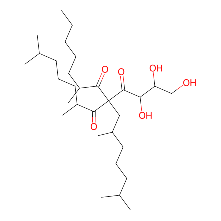 CCCCCC(C)C(=O)C(CC(C)CCCC(C)C)(C(=O)C(C)CCCC(C)C)C(=O)C(O)C(O)CO